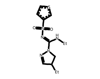 CCN/C(=N\S(=O)(=O)c1ccsc1)N1CC(CC)C=N1